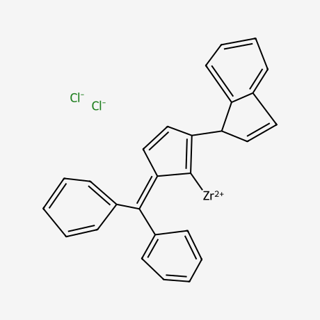 [Cl-].[Cl-].[Zr+2][C]1=C(C2C=Cc3ccccc32)C=CC1=C(c1ccccc1)c1ccccc1